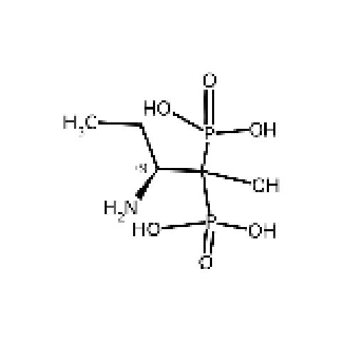 CC[C@H](N)C(O)(P(=O)(O)O)P(=O)(O)O